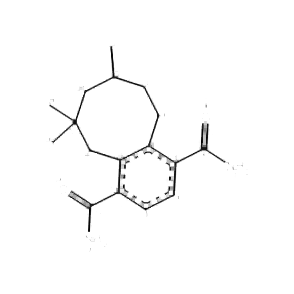 CC1CCc2c(C(N)=O)ccc(C(N)=O)c2CC(C)(C)C1